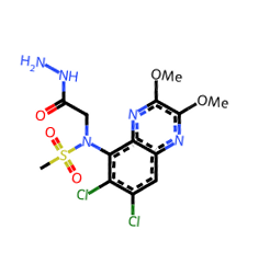 COc1nc2cc(Cl)c(Cl)c(N(CC(=O)NN)S(C)(=O)=O)c2nc1OC